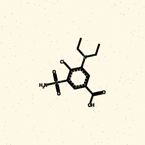 CCN(CC)c1cc(C(=O)O)cc(S(N)(=O)=O)c1Cl